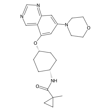 CC1(C(=O)N[C@H]2CC[C@@H](Oc3cc(N4CCOCC4)cc4ncncc34)CC2)CC1